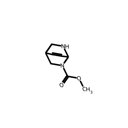 COC(=O)N1CC2C=CC1NC2